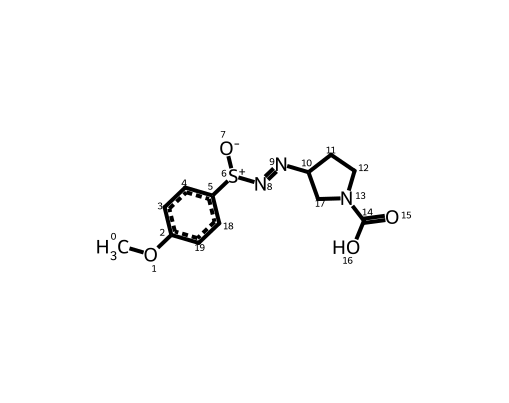 COc1ccc([S+]([O-])N=NC2CCN(C(=O)O)C2)cc1